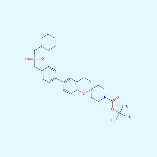 CC(C)(C)OC(=O)N1CCC2(CCc3cc(-c4ccc(CS(=O)(=O)CC5CCCCC5)cc4)ccc3O2)CC1